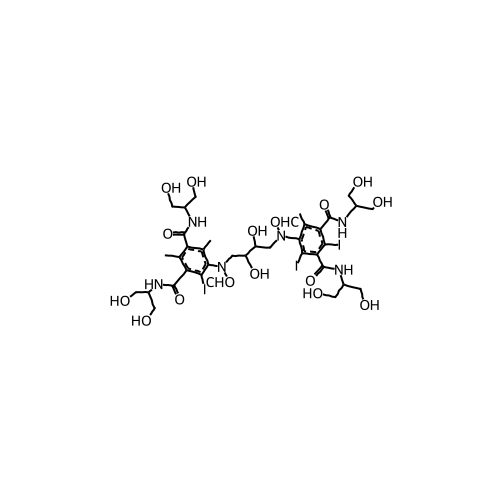 Cc1c(C(=O)NC(CO)CO)c(C)c(N(C=O)CC(O)C(O)CN(C=O)c2c(C)c(C(=O)NC(CO)CO)c(I)c(C(=O)NC(CO)CO)c2I)c(I)c1C(=O)NC(CO)CO